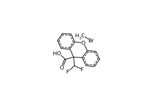 CBr.O=C(O)C1(C(F)F)c2ccccc2Oc2ccccc21